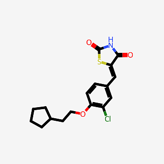 O=C1NC(=O)/C(=C/c2ccc(OCCC3CCCC3)c(Cl)c2)S1